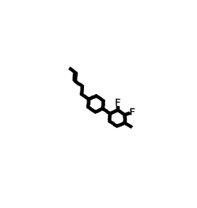 C/C=C/CCC1CCC(C2CCC(C)C(F)C2F)CC1